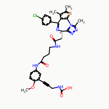 COc1ccc(NC(=O)CCCNC(=O)C[C@@H]2N=C(c3ccc(Cl)cc3)c3c(sc(C)c3C)-n3c(C)nnc32)cc1C#CCNC(=O)O